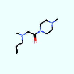 CCCN(C)CC(=O)N1CCN(C)CC1